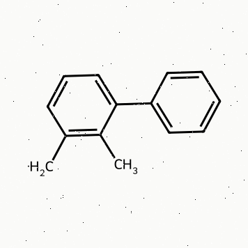 [CH2]c1cccc(-c2ccccc2)c1C